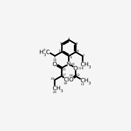 CCc1cccc(CC)c1N(OC(C)=O)C(=O)C(Cl)CC